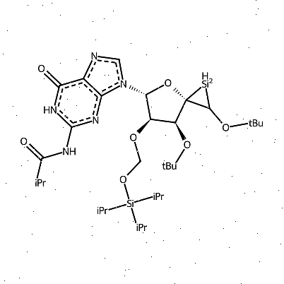 CC(C)C(=O)Nc1nc2c(ncn2[C@@H]2O[C@@]3([SiH2]C3OC(C)(C)C)[C@@H](OC(C)(C)C)[C@H]2OCO[Si](C(C)C)(C(C)C)C(C)C)c(=O)[nH]1